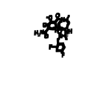 COc1c2n(cc(C(N)=O)c1=O)[C@@H]1CN(C2=O)[C@@H](C)CC[C@]12N[C@@H](C)N(Cc1ccc(F)cc1F)O2